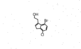 OCCC1=CCc2c(Cl)ccc(Br)c21